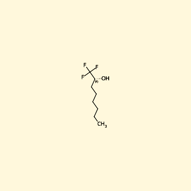 CCCCCC[C@@H](O)C(F)(F)F